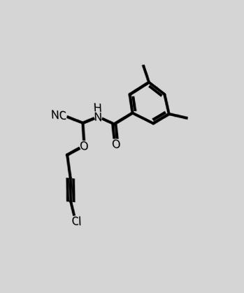 Cc1cc(C)cc(C(=O)NC(C#N)OCC#CCl)c1